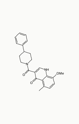 COc1ccc(C)c2c(=O)c(C(=O)N3CCC(c4ccccc4)CC3)c[nH]c12